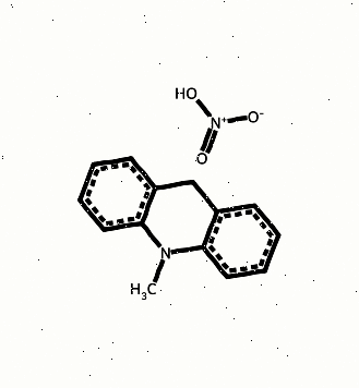 CN1c2ccccc2Cc2ccccc21.O=[N+]([O-])O